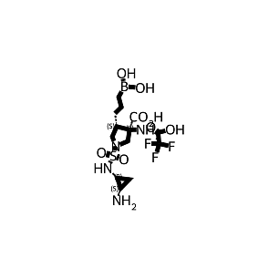 N[C@H]1C[C@H]1NS(=O)(=O)N1C[C@H](CCCB(O)O)[C@](N)(C(=O)O)C1.O=C(O)C(F)(F)F